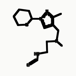 Cc1nn(C2CCCCO2)cc1CN(C)CCNC=O